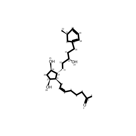 CC(=O)CCC/C=C\C[C@@H]1[C@@H](CC[C@@H](O)CCC2=CC=C[C@H](C)C2)[C@H](O)C[C@@H]1O